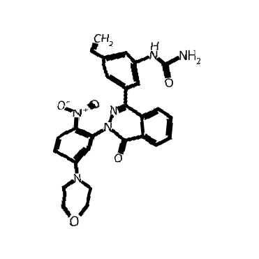 C=Cc1cc(NC(N)=O)cc(-c2nn(-c3cc(N4CCOCC4)ccc3[N+](=O)[O-])c(=O)c3ccccc23)c1